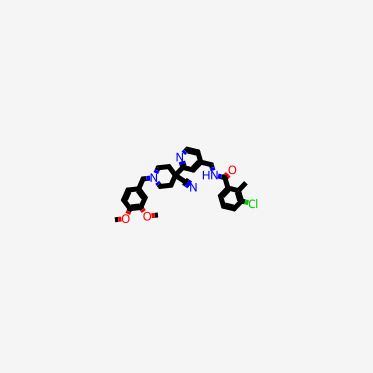 COc1ccc(CN2CCC(C#N)(c3cc(CNC(=O)c4cccc(Cl)c4C)ccn3)CC2)cc1OC